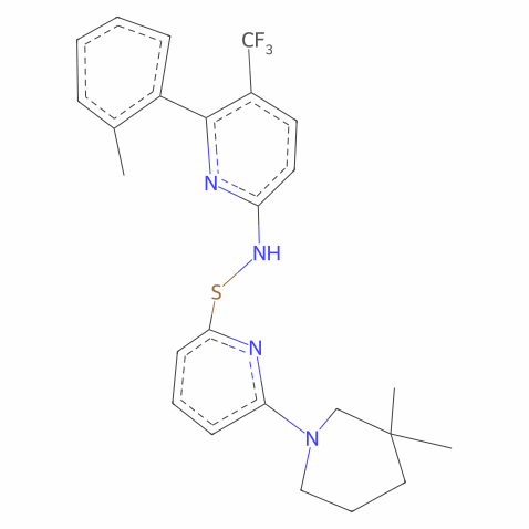 Cc1ccccc1-c1nc(NSc2cccc(N3CCCC(C)(C)C3)n2)ccc1C(F)(F)F